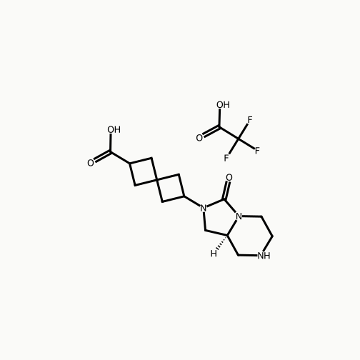 O=C(O)C(F)(F)F.O=C(O)C1CC2(C1)CC(N1C[C@@H]3CNCCN3C1=O)C2